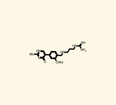 COc1cc(-c2c[nH]c(C(C)(C)C)nc2=O)ccc1CNCCCNC(=N)N